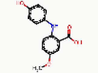 COc1ccc(Nc2ccc(O)cc2)c(C(=O)O)c1